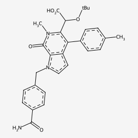 Cc1ccc(-c2c(C(OC(C)(C)C)C(=O)O)n(C)c(=O)c3c2ccn3Cc2ccc(C(N)=O)cc2)cc1